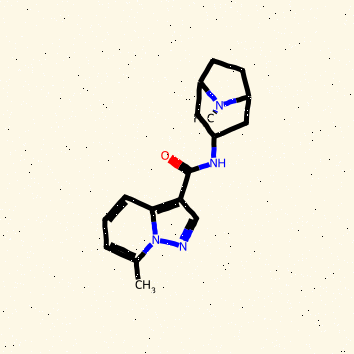 Cc1cccc2c(C(=O)NC3CC4CCC(C3)N4C)cnn12